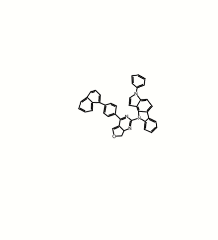 C1=C2C(c3ccc(-c4cccc5ccccc45)cc3)=NC(n3c4ccccc4c4ccc5c(ccn5-c5ccccc5)c43)=NC2CO1